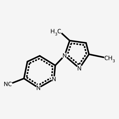 Cc1cc(C)n(-c2ccc(C#N)nn2)n1